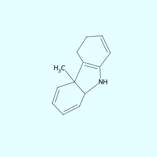 CC12C=CC=CC1NC1=C2CCC=C1